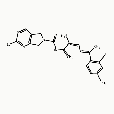 C=C(NC(=O)N1Cc2cnc(CC)nc2C1)/C(N)=C\C=C(/C)c1ccc(P)cc1F